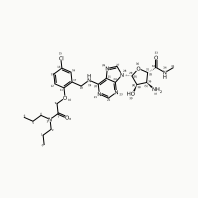 CCCN(CCC)C(=O)COc1ccc(Cl)cc1CNc1ncnc2c1ncn2[C@@H]1O[C@H](C(=O)NC)[C@@H](N)[C@H]1O